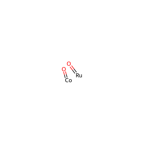 [O]=[Co].[O]=[Ru]